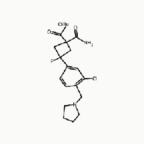 CC(C)COC(=O)C1(C(N)=O)CC(F)(c2ccc(CN3CCCC3)c(Cl)c2)C1